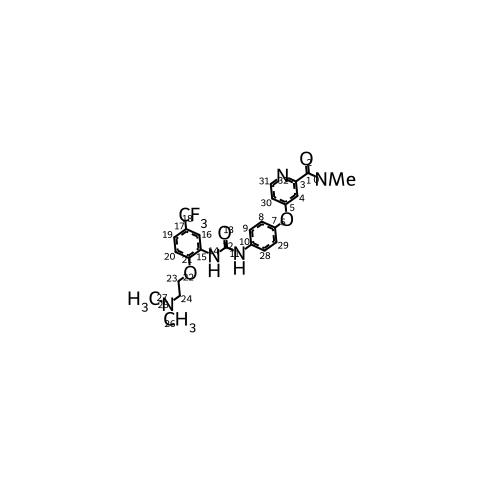 CNC(=O)c1cc(Oc2ccc(NC(=O)Nc3cc(C(F)(F)F)ccc3OCCN(C)C)cc2)ccn1